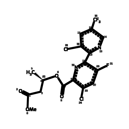 COC(=O)C[C@H](C)OC(=O)c1nc(-c2ncc(C(F)(F)F)cc2Cl)c(F)cc1Cl